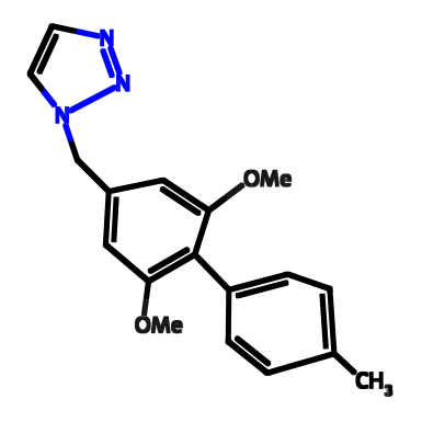 COc1cc(Cn2ccnn2)cc(OC)c1-c1ccc(C)cc1